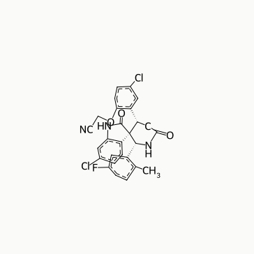 Cc1ccc(F)cc1[C@H]1NC(=O)C[C@@H](c2cc(Cl)ccc2OCC#N)[C@]12C(=O)Nc1cc(Cl)ccc12